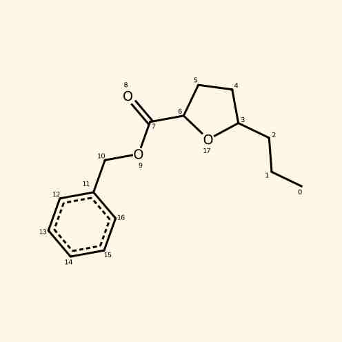 CCCC1CCC(C(=O)OCc2ccccc2)O1